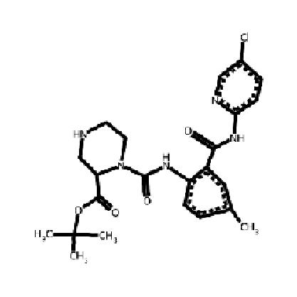 Cc1ccc(NC(=O)N2CCNCC2C(=O)OC(C)(C)C)c(C(=O)Nc2ccc(Cl)cn2)c1